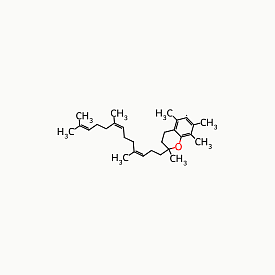 CC(C)=CCCC(C)=CCCC(C)=CCCC1(C)CCc2c(C)[c]c(C)c(C)c2O1